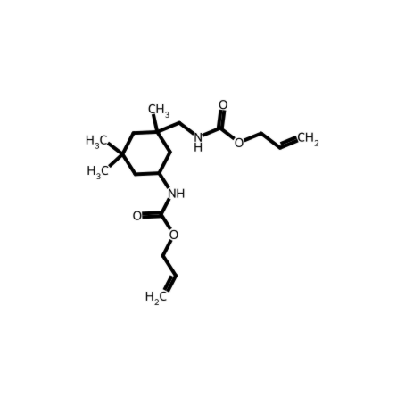 C=CCOC(=O)NCC1(C)CC(NC(=O)OCC=C)CC(C)(C)C1